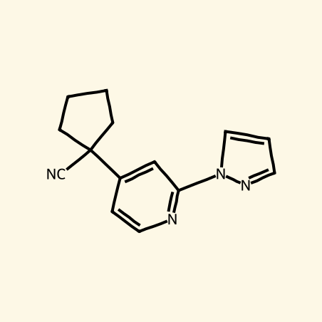 N#CC1(c2ccnc(-n3cccn3)c2)CCCC1